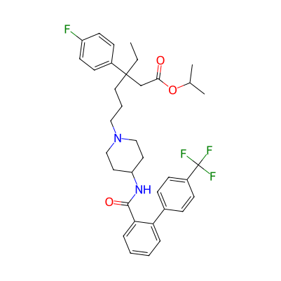 CCC(CCCN1CCC(NC(=O)c2ccccc2-c2ccc(C(F)(F)F)cc2)CC1)(CC(=O)OC(C)C)c1ccc(F)cc1